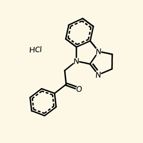 Cl.O=C(CN1C2=NCCN2c2ccccc21)c1ccccc1